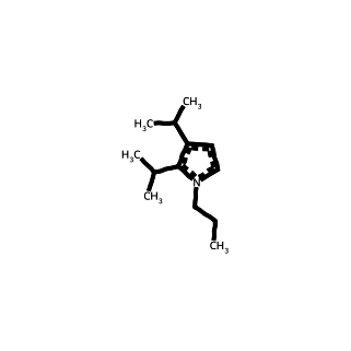 CCCn1ccc(C(C)C)c1C(C)C